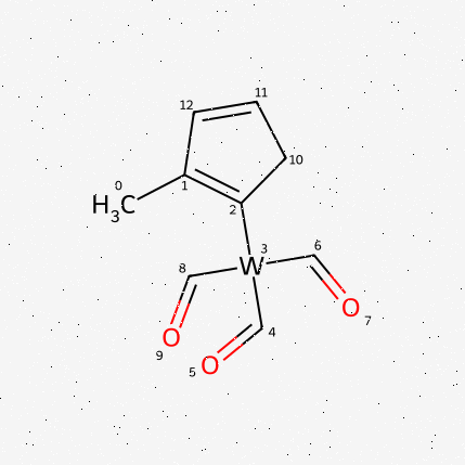 CC1=[C]([W]([CH]=O)([CH]=O)[CH]=O)CC=C1